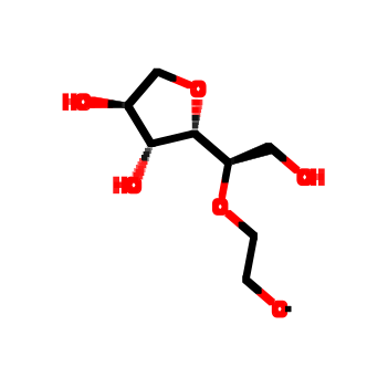 [O]CCO[C@H](CO)[C@H]1OC[C@H](O)[C@H]1O